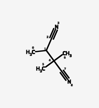 CC(C#N)C(C)(C)C#N